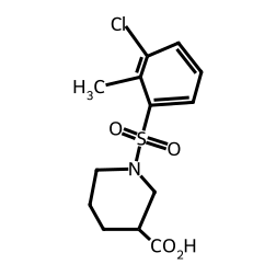 Cc1c(Cl)cccc1S(=O)(=O)N1CCCC(C(=O)O)C1